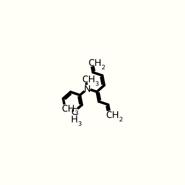 C=C/C=C\C(=C/C=C)N(C)C(/C=C\C)=C/C